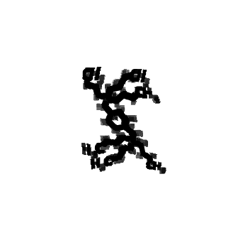 CCCC[N+](CCCC)(CCCC)CC1CCC(C[N+](CCCC)(CCCC)CCCC)CC1